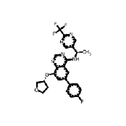 C[C@@H](Nc1ncnc2c(O[C@@H]3CCOC3)cc(-c3ccc(F)cc3)cc12)c1cnc(C(F)(F)F)nc1